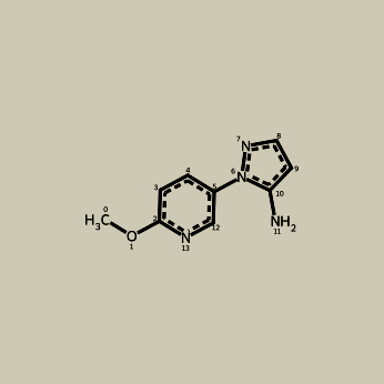 COc1ccc(-n2nccc2N)cn1